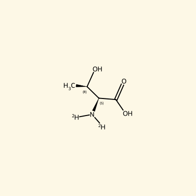 [2H]N([2H])[C@H](C(=O)O)[C@@H](C)O